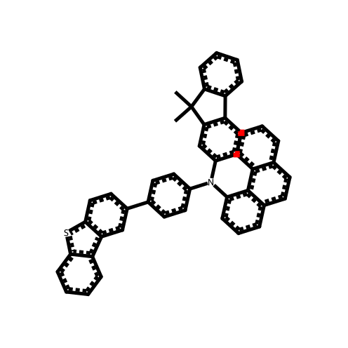 CC1(C)c2ccccc2-c2ccc(N(c3ccc(-c4ccc5sc6ccccc6c5c4)cc3)c3cccc4ccc5ccccc5c34)cc21